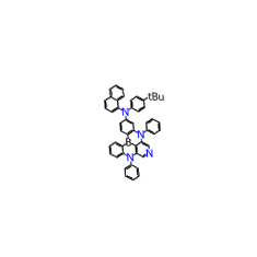 CC(C)(C)c1ccc(N(c2ccc3c(c2)N(c2ccccc2)c2cncc4c2B3c2ccccc2N4c2ccccc2)c2cccc3ccccc23)cc1